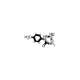 Cc1ccc(N(N[SH](=O)=O)C(N)=O)cc1